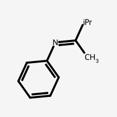 CC(=Nc1ccccc1)C(C)C